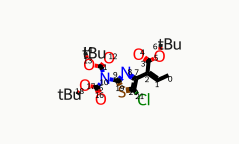 C/C=C(\C(=O)OC(C)(C)C)c1nc(N(C(=O)OC(C)(C)C)C(=O)OC(C)(C)C)sc1Cl